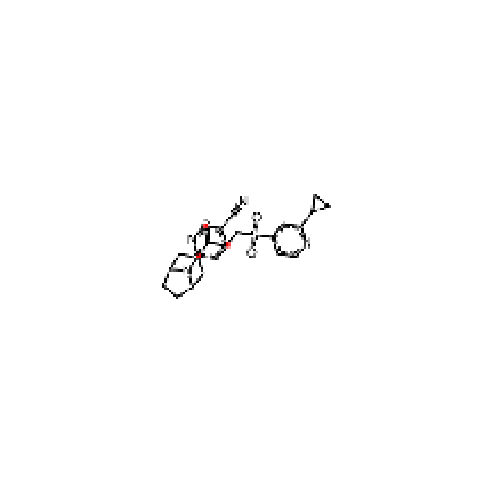 N#Cc1ccc(N2C3CCC2CN(C(=O)CCS(=O)(=O)c2ccnc(C4CC4)c2)C3)nc1